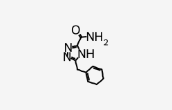 NC(=O)c1nnc(CC2=CCCC=C2)[nH]1